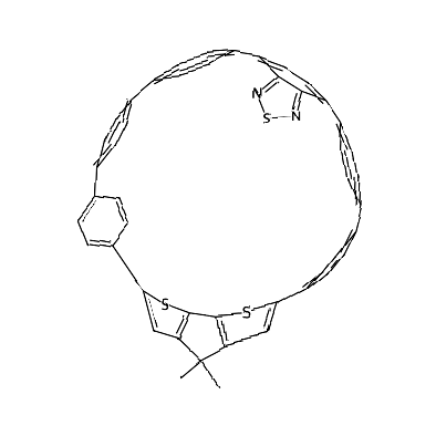 CC1(C)c2cc3sc2-c2sc(cc21)-c1ccc(cc1)-c1ccc(cc1)-c1ccc(c2nsnc12)-c1ccc(cc1)-c1ccc(cc1)-c1ccc-3cc1